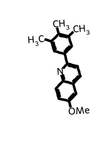 COc1ccc2nc(-c3cc(C)c(C)c(C)c3)ccc2c1